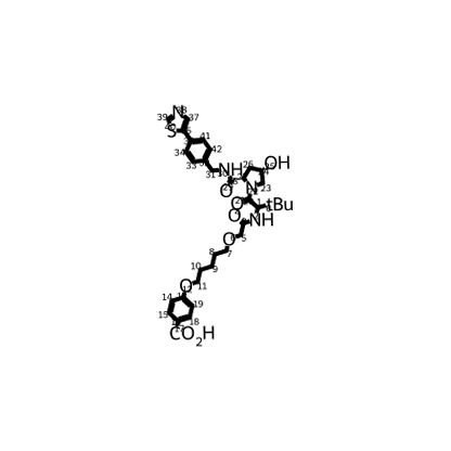 CC(C)(C)C(NC(=O)COCCCCCOc1ccc(C(=O)O)cc1)C(=O)N1C[C@H](O)C[C@H]1C(=O)NCc1ccc(-c2cncs2)cc1